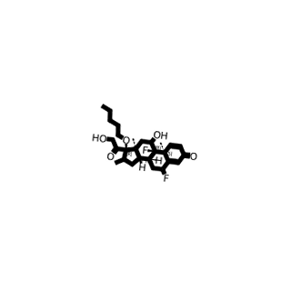 CCCCCO[C@]1(C(=O)CO)C(C)C[C@H]2[C@@H]3CC(F)C4=CC(=O)C=C[C@]4(C)[C@@]3(F)C(O)C[C@@]21C